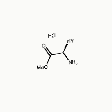 CCC[C@@H](N)C(=O)OC.Cl